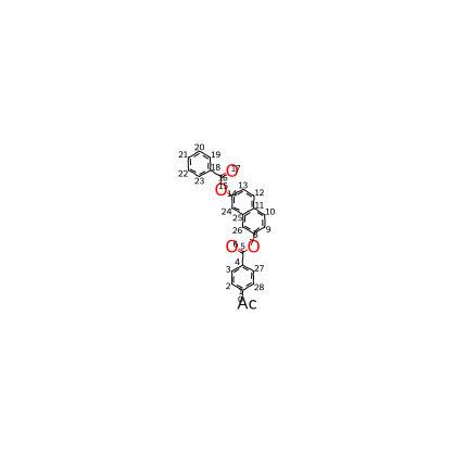 CC(=O)c1ccc(C(=O)Oc2ccc3ccc(OC(=O)c4ccccc4)cc3c2)cc1